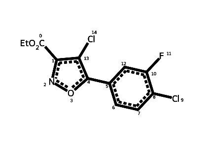 CCOC(=O)c1noc(-c2ccc(Cl)c(F)c2)c1Cl